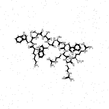 CC[C@H](C)[C@H](NC(=O)[C@H](Cc1c[nH]c2ccccc12)NC(=O)[C@@H](NC(=O)[C@H](CC(C)C)NC(=O)[C@H](Cc1c[nH]c2ccccc12)NC(=O)[C@@H](N)CCCCN)C(C)C)C(=O)N[C@@H](Cc1c[nH]c2ccccc12)C(=O)N[C@@H](CCCNC(=N)N)C(=O)N[C@@H](CCCNC(=N)N)C(=O)N[C@@H](CCCNC(=N)N)C(=O)O